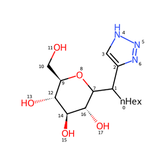 CCCCCCC(c1c[nH]nn1)C1O[C@H](CO)[C@@H](O)[C@H](O)[C@H]1O